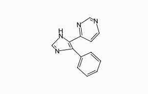 c1ccc(-c2nc[nH]c2-c2ccncn2)cc1